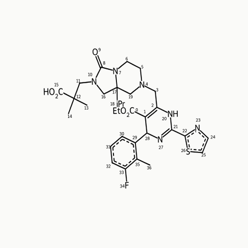 CCOC(=O)C1=C(CN2CCN3C(=O)N(CC(C)(C)C(=O)O)CC3(C(C)C)C2)NC(c2nccs2)=NC1c1cccc(F)c1C